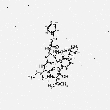 CC[C@H](C)[C@H](NC(=O)CC(NC(=O)OCc1ccccc1)[C@H](Cc1ccccc1)NC(=O)OC(C)(C)C)C(=O)NC(C(=O)O)C(C)C